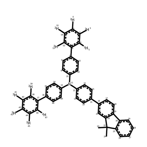 [2H]c1c([2H])c([2H])c(-c2ccc(N(c3ccc(-c4ccc5c(c4)C(C)(C)c4ccccc4-5)cc3)c3ccc(-c4c([2H])c([2H])c([2H])c([2H])c4[2H])cc3)cc2)c([2H])c1[2H]